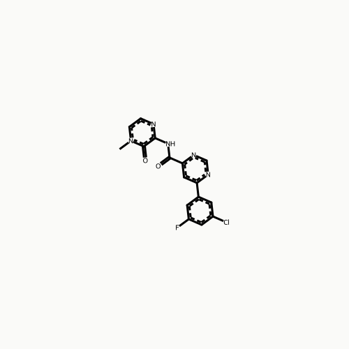 Cn1ccnc(NC(=O)c2cc(-c3cc(F)cc(Cl)c3)ncn2)c1=O